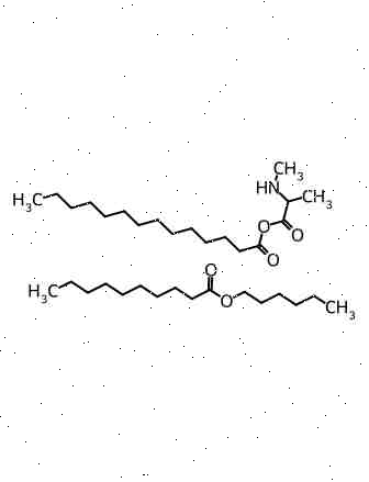 CCCCCCCCCC(=O)OCCCCCC.CCCCCCCCCCCCCC(=O)OC(=O)C(C)NC